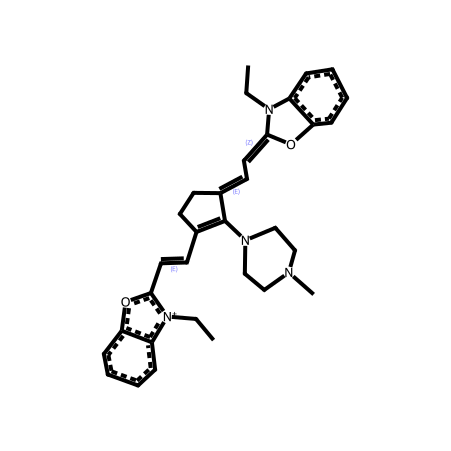 CCN1/C(=C/C=C2\CCC(/C=C/c3oc4ccccc4[n+]3CC)=C2N2CCN(C)CC2)Oc2ccccc21